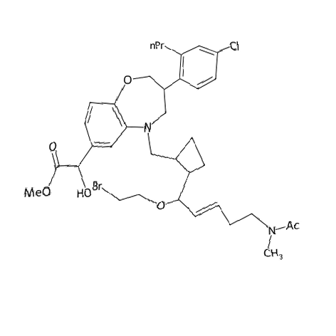 CCCc1cc(Cl)ccc1C1COc2ccc(C(O)C(=O)OC)cc2N(CC2CCC2C(/C=C/CCN(C)C(C)=O)OCCBr)C1